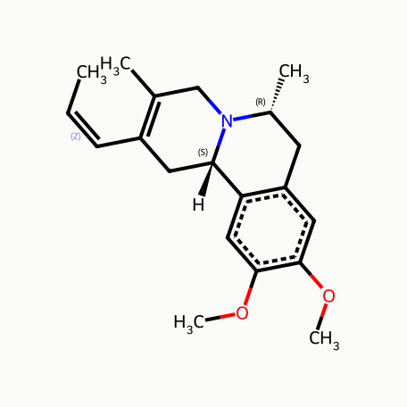 C/C=C\C1=C(C)CN2[C@H](C)Cc3cc(OC)c(OC)cc3[C@@H]2C1